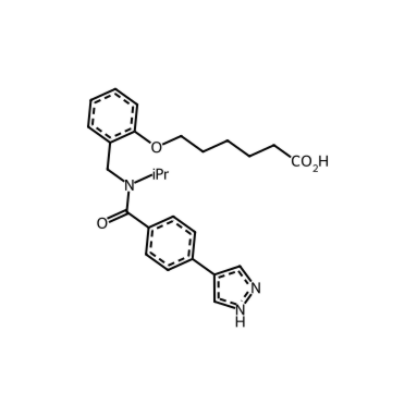 CC(C)N(Cc1ccccc1OCCCCCC(=O)O)C(=O)c1ccc(-c2cn[nH]c2)cc1